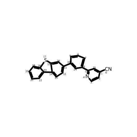 N#Cc1ccnc(-c2cccc(-c3ccc4c(c3)sc3ccccc34)c2)c1